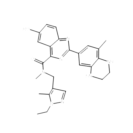 CCn1ncc(CN(C)C(=O)c2nc(-c3cc(C)c4c(c3)NCCN4)nc3ccc(O)cc23)c1C